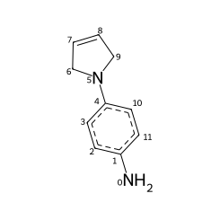 Nc1ccc(N2CC=CC2)cc1